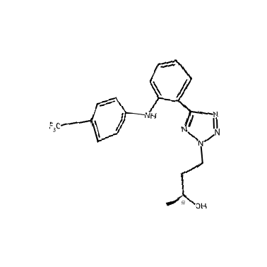 C[C@H](O)CCn1nnc(-c2ccccc2Nc2ccc(C(F)(F)F)cc2)n1